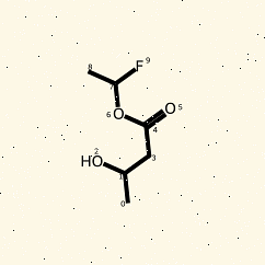 CC(O)CC(=O)OC(C)F